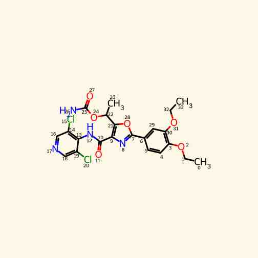 CCOc1ccc(-c2nc(C(=O)Nc3c(Cl)cncc3Cl)c(C(C)OC(N)=O)o2)cc1OCC